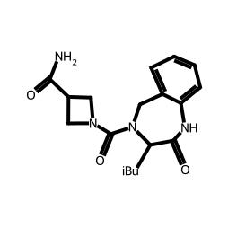 CCC(C)C1C(=O)Nc2ccccc2CN1C(=O)N1CC(C(N)=O)C1